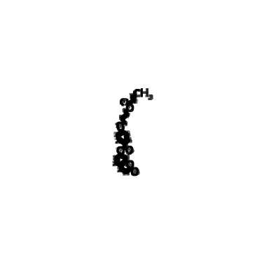 CC=CC(=O)OCCCCOc1ccc(C(=O)Oc2ccc3ccc(=O)oc3c2)cc1